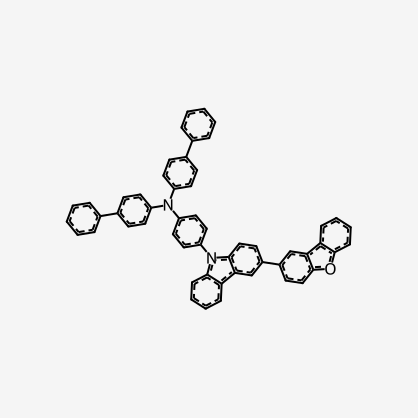 c1ccc(-c2ccc(N(c3ccc(-c4ccccc4)cc3)c3ccc(-n4c5ccccc5c5cc(-c6ccc7oc8ccccc8c7c6)ccc54)cc3)cc2)cc1